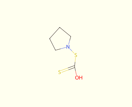 OC(=S)SN1CCCC1